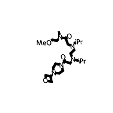 COCCN(C)C(=O)CN(CCN(CC(=O)N1CCN(C2COC2)CC1)C(C)C)C(C)C